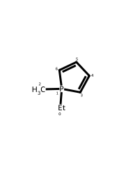 CC[P]1(C)C=CC=C1